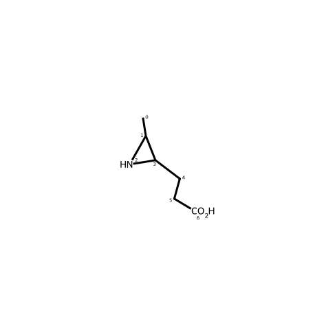 CC1NC1CCC(=O)O